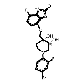 O=c1[nH]c2c(F)ccc(OC[C@]3(O)CCN(c4ccc(Br)cc4F)C[C@H]3O)c2s1